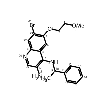 COCCOc1cc2c(N[C@H](C)c3ccccc3)c(N)cnc2cc1Br